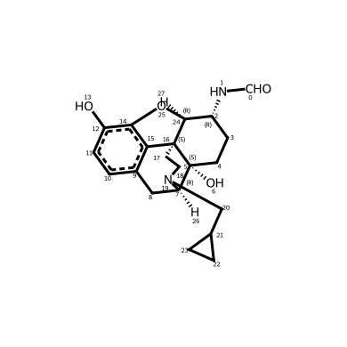 O=CN[C@@H]1CC[C@@]2(O)[C@H]3Cc4ccc(O)c5c4[C@@]2(CCN3CC2CC2)[C@H]1O5